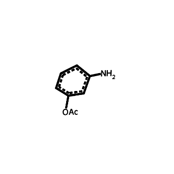 CC(=O)Oc1cccc(N)c1